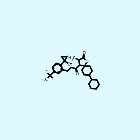 CCC1(c2ccc(C(C)(F)F)cc2CCC(=O)C2C(C)C(=O)OC23CCC(C2CCCCC2)CC3)CC1